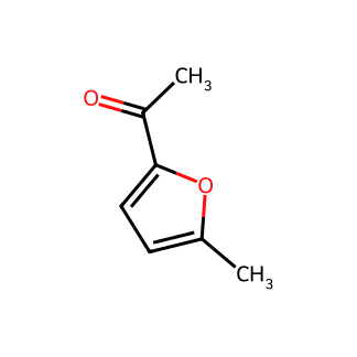 CC(=O)c1ccc(C)o1